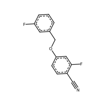 N#Cc1ccc(OCc2cccc(F)c2)cc1F